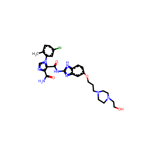 Cc1ccc(Br)cc1-n1cnc(C(N)=O)c1C(=O)Nc1nc2cc(OCCCN3CCN(CCO)CC3)ccc2[nH]1